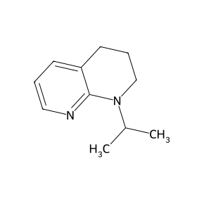 CC(C)N1CCCc2cccnc21